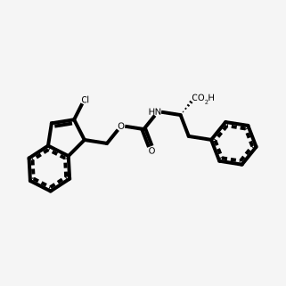 O=C(N[C@@H](Cc1ccccc1)C(=O)O)OCC1C(Cl)=Cc2ccccc21